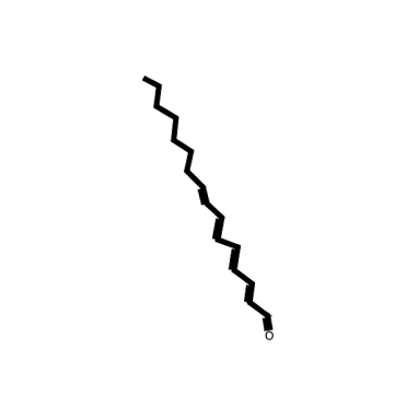 CCCCCCC/C=C/C=C/C=C/C=C/[C]=O